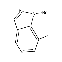 Cc1cccc2cnn(Br)c12